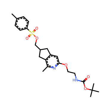 Cc1ccc(S(=O)(=O)OCC2Cc3cc(OCCNC(=O)OC(C)(C)C)nc(C)c3C2)cc1